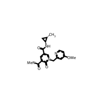 CNC(=O)c1cc(C(=O)N[C@H]2C[C@@H]2C)cn(Cc2cc(OC)ccn2)c1=O